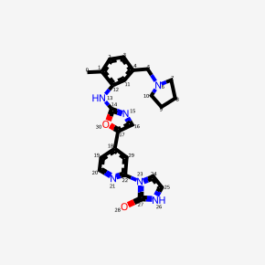 Cc1ccc(CN2CCCC2)cc1Nc1ncc(-c2ccnc(-n3cc[nH]c3=O)c2)o1